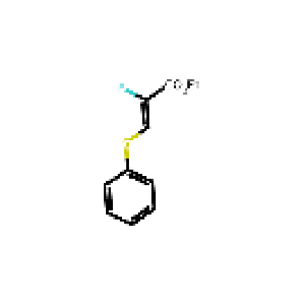 CCOC(=O)C(F)=CSc1ccccc1